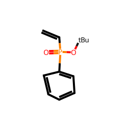 C=CP(=O)(OC(C)(C)C)c1ccccc1